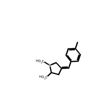 Cc1ccc(C=C2CC(C(=O)O)N(C(=O)O)C2)cc1